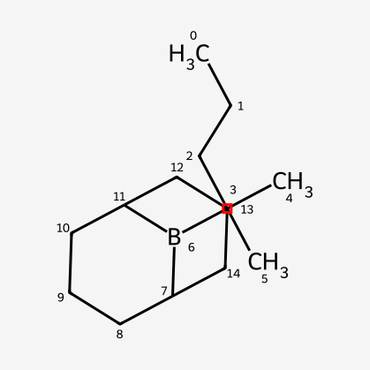 CCCC(C)(C)B1C2CCCC1CCC2